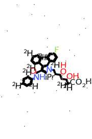 [2H]c1cc([2H])c(NC(=O)c2c(-c3c([2H])cc([2H])cc3[2H])c(-c3c([2H])cc(F)cc3[2H])n(CC[C@@H](O)C[C@@H](O)C([2H])([2H])C(=O)O)c2C(C)C)c([2H])c1